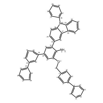 Nc1c(OCc2ccc(-c3ccccc3)cc2)cc(-c2cccc(-c3ccccc3)c2)cc1-c1ccc2c(c1)c1ccccc1n2-c1ccccc1